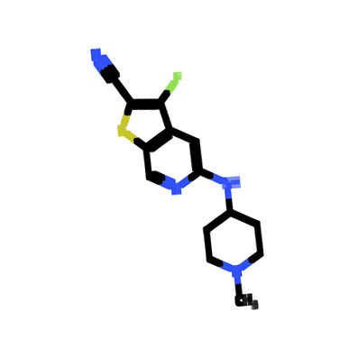 CN1CCC(Nc2cc3c(F)c(C#N)sc3cn2)CC1